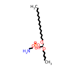 CCC=CCCO[C@H](COCCCCCCCCCCCCCCCC)CO[P@](=O)(O)OCCN